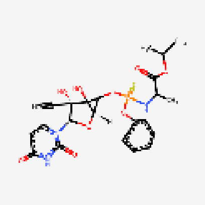 C#C[C@]1(O)[C@H](n2ccc(=O)[nH]c2=O)O[C@@H]2C(OP(=S)(NC(C)C(=O)OC(C)C)Oc3ccccc3)[C@]21O